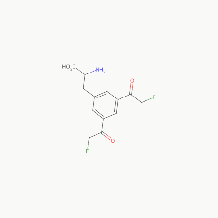 NC(Cc1cc(C(=O)CF)cc(C(=O)CF)c1)C(=O)O